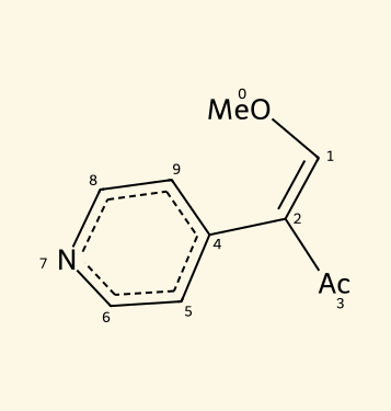 CO/C=C(/C(C)=O)c1ccncc1